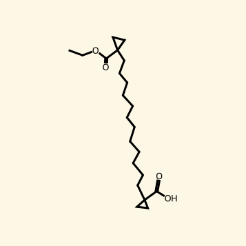 CCOC(=O)C1(CCCCCCCCCCCCC2(C(=O)O)CC2)CC1